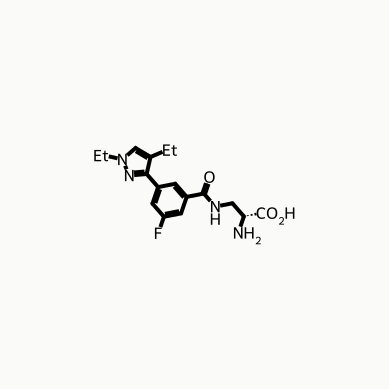 CCc1cn(CC)nc1-c1cc(F)cc(C(=O)NC[C@@H](N)C(=O)O)c1